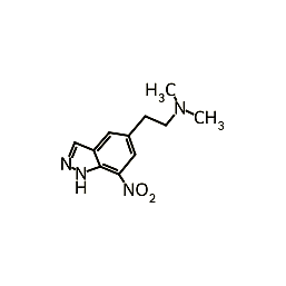 CN(C)CCc1cc([N+](=O)[O-])c2[nH]ncc2c1